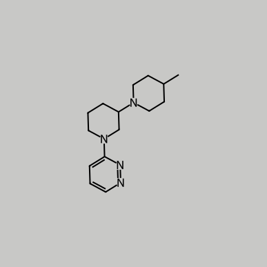 CC1CCN(C2CCCN(c3cccnn3)C2)CC1